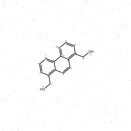 OCc1ccnc2c1ccc1c(CO)ccnc12